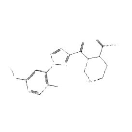 COc1cc(-n2ccc(C(=O)C3CNCCC3C(N)=O)n2)c(Cl)cn1